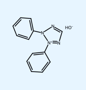 [OH-].c1ccc(-n2ncn[n+]2-c2ccccc2)cc1